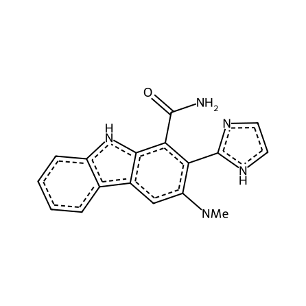 CNc1cc2c([nH]c3ccccc32)c(C(N)=O)c1-c1ncc[nH]1